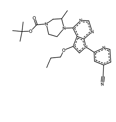 CCCOc1cn(-c2cc(C#N)ccn2)c2ncnc(N3CCN(C(=O)OC(C)(C)C)CC3C)c12